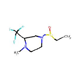 CC[S+]([O-])N1CCN(C)C(C(F)(F)F)C1